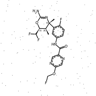 C[C@H]1[C@@H](C(F)F)OC(N)=N[C@]1(C)c1cc(NC(=O)c2cnc(OCF)cn2)ccc1F